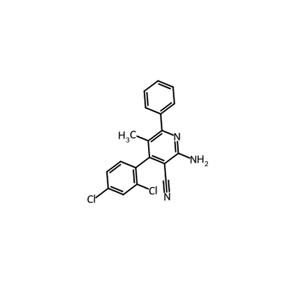 Cc1c(-c2ccccc2)nc(N)c(C#N)c1-c1ccc(Cl)cc1Cl